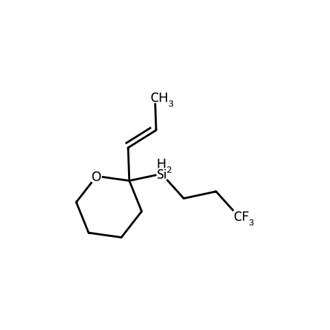 CC=CC1([SiH2]CCC(F)(F)F)CCCCO1